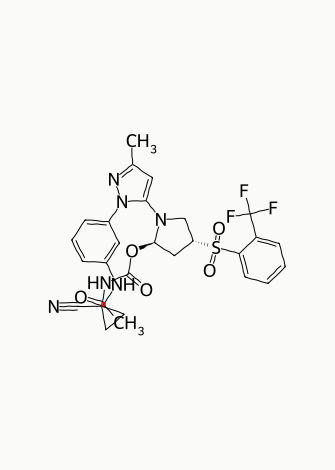 CC(=O)Nc1cccc(-n2nc(C)cc2N2C[C@H](S(=O)(=O)c3ccccc3C(F)(F)F)C[C@H]2OC(=O)NC2(C#N)CC2)c1